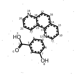 O=C(O)c1cccc(O)c1.c1cnc2c(c1)ccc1ncccc12